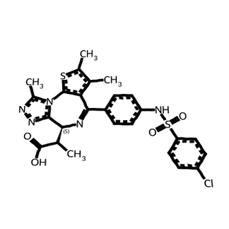 Cc1sc2c(c1C)C(c1ccc(NS(=O)(=O)c3ccc(Cl)cc3)cc1)=N[C@@H](C(C)C(=O)O)c1nnc(C)n1-2